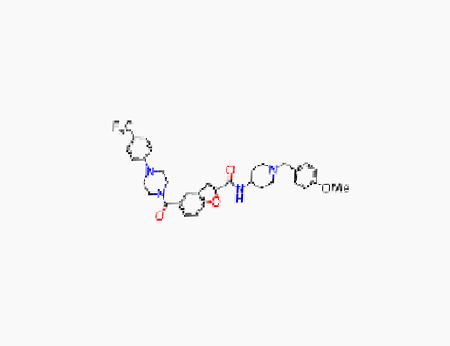 COc1ccc(CN2CCC(NC(=O)c3cc4cc(C(=O)N5CCN(c6ccc(C(F)(F)F)cc6)CC5)ccc4o3)CC2)cc1